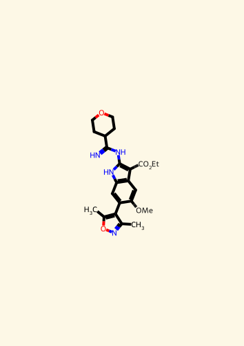 CCOC(=O)c1c(NC(=N)C2CCOCC2)[nH]c2cc(-c3c(C)noc3C)c(OC)cc12